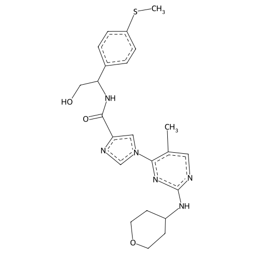 CSc1ccc(C(CO)NC(=O)c2cn(-c3nc(NC4CCOCC4)ncc3C)cn2)cc1